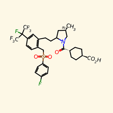 C[C@@H]1CC(CCc2cc(C(F)(C(F)(F)F)C(F)(F)F)ccc2CS(=O)(=O)c2ccc(F)cc2)N(C(=O)[C@H]2CC[C@H](C(=O)O)CC2)C1